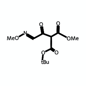 CON=CC(=O)C(C(=O)OC)C(=O)OC(C)(C)C